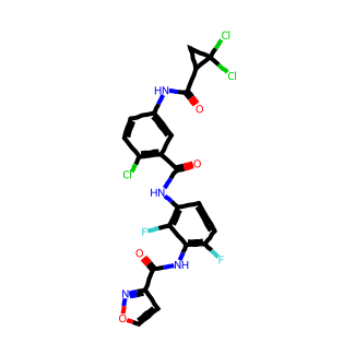 O=C(Nc1c(F)ccc(NC(=O)c2cc(NC(=O)C3CC3(Cl)Cl)ccc2Cl)c1F)c1ccon1